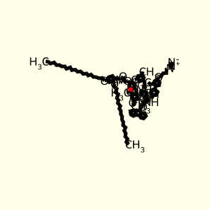 CCCCCCCCCCCCCCCCCCCCCCOc1ccc(CNC(=O)COc2ccc(C(NC(=O)[C@H](CCCc3cc(C)cc(C)c3)NC(=O)[C@H](Cc3ccc(-c4ccc(OCCCCN=[N+]=[N-])cc4CC)cc3)NC(=O)OCC3c4ccccc4-c4ccccc43)c3ccc(OC)cc3OC)cc2)c(OCCCCCCCCCCCCCCCCCCCCCC)c1